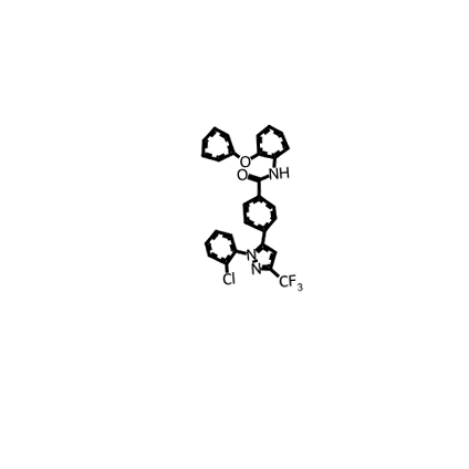 O=C(Nc1ccccc1Oc1ccccc1)c1ccc(-c2cc(C(F)(F)F)nn2-c2ccccc2Cl)cc1